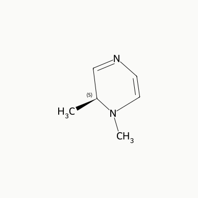 C[C@H]1C=NC=CN1C